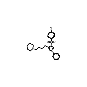 O=S(=O)(c1ccc(Cl)cc1)c1cn(-c2ccccc2)nc1OCCCN1CCCCC1